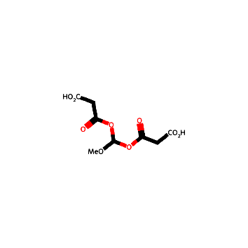 COC(OC(=O)CC(=O)O)OC(=O)CC(=O)O